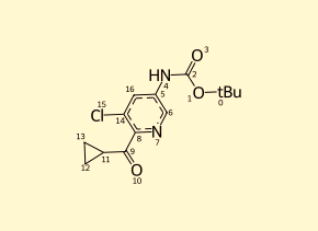 CC(C)(C)OC(=O)Nc1cnc(C(=O)C2CC2)c(Cl)c1